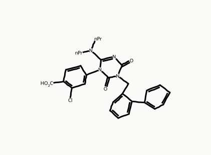 CCCN(CCC)c1nc(=O)n(Cc2ccccc2-c2ccccc2)c(=O)n1-c1ccc(C(=O)O)c(Cl)c1